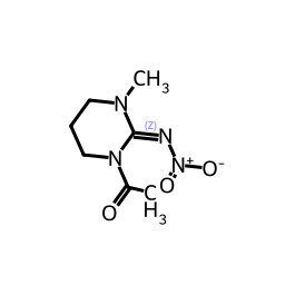 CC(=O)N1CCCN(C)/C1=N/[N+](=O)[O-]